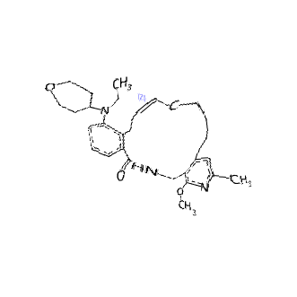 CCN(c1cccc2c1C/C=C\CCCCc1cc(C)nc(OC)c1CNC2=O)C1CCOCC1